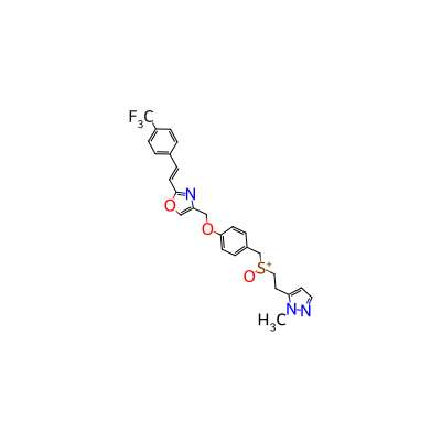 Cn1nccc1CC[S+]([O-])Cc1ccc(OCc2coc(C=Cc3ccc(C(F)(F)F)cc3)n2)cc1